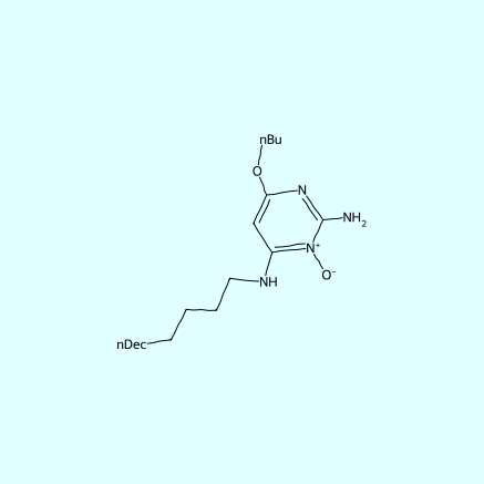 CCCCCCCCCCCCCCNc1cc(OCCCC)nc(N)[n+]1[O-]